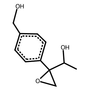 CC(O)C1(c2ccc(CO)cc2)CO1